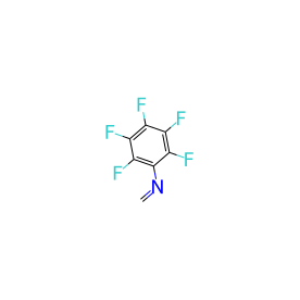 C=Nc1c(F)c(F)c(F)c(F)c1F